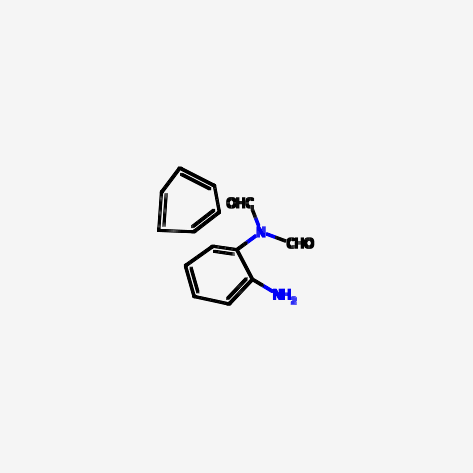 Nc1ccccc1N(C=O)C=O.c1ccccc1